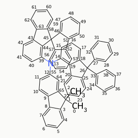 CC1(C)c2ccccc2-c2ccc(N(c3cccc4c3-c3ccccc3C4(c3ccccc3)c3ccccc3)c3cccc4c3C3(c5ccccc5-c5ccccc53)c3ccccc3-4)cc21